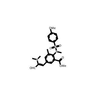 COC(=O)c1cc(C=C(C=O)N(C)C)cc(C)c1N(C)S(=O)(=O)c1ccc(OC)cc1